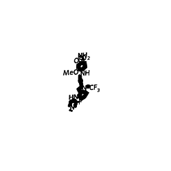 COc1cc(S(N)(=O)=O)ccc1NCC#Cc1cc2c(NC3=CCN(C)C[C@@H]3F)cccc2n1CC(F)(F)F